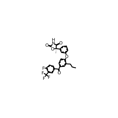 CCCc1cc(C(=O)c2ccc(F)c(C(F)(F)F)c2)ccc1Oc1cccc([C@@]2(C)OC(=O)NC2=O)c1